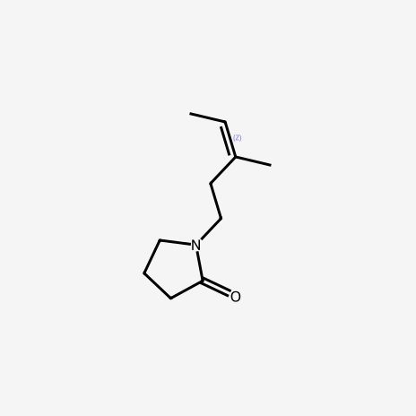 C/C=C(/C)CCN1CCCC1=O